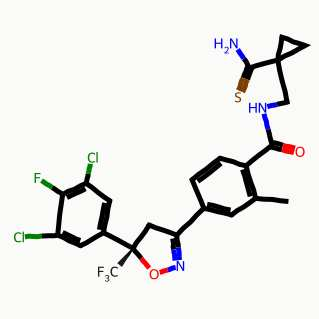 Cc1cc(C2=NO[C@@](c3cc(Cl)c(F)c(Cl)c3)(C(F)(F)F)C2)ccc1C(=O)NCC1(C(N)=S)CC1